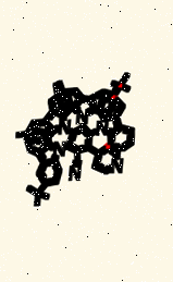 Cc1ccc2c(c1)c1cc(C)ccc1n2-c1c(-n2c3ccccc3c3cc(C(C)(C)C)ccc32)c(C#N)c(-c2ccncc2)c(-n2c3ccccc3c3cc(C(C)(C)C)ccc32)c1-n1c2ccc(C)cc2c2cc(C)ccc21